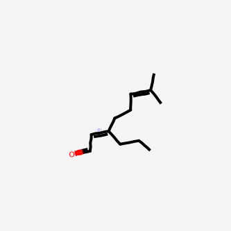 CCC/C(=C\C=O)CCC=C(C)C